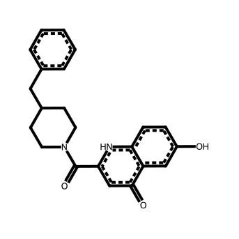 O=C(c1cc(=O)c2cc(O)ccc2[nH]1)N1CCC(Cc2ccccc2)CC1